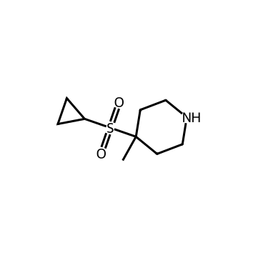 CC1(S(=O)(=O)C2CC2)CCNCC1